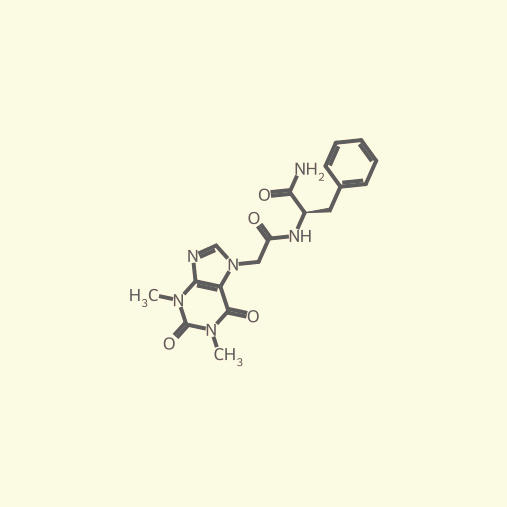 Cn1c(=O)c2c(ncn2CC(=O)N[C@H](Cc2ccccc2)C(N)=O)n(C)c1=O